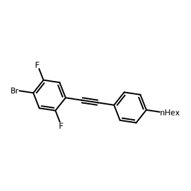 CCCCCCc1ccc(C#Cc2cc(F)c(Br)cc2F)cc1